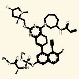 C#Cc1c(F)ccc2cc(OP(=O)(N[C@@H](C)C(=O)OC(C)C)OC(C)C)cc(C3=Cc4nc(OC[C@]5(C)C[C@@H](F)CN5C)nc(N5CCCCC(NC(=O)C=C)C5)c4CC3)c12